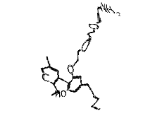 C=C(C)C1CCC(C)=CC1c1c(O)cc(CCCCC)cc1OCCOCCOCCN